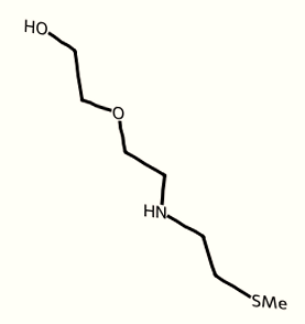 CSCCNCCOCCO